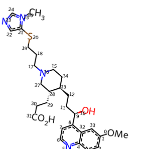 COc1ccc2nccc([C@H](O)CC[C@@H]3CCN(CCCSc4cncn4C)C[C@H]3CCC(=O)O)c2c1